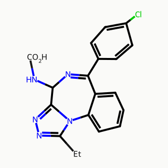 CCc1nnc2n1-c1ccccc1C(c1ccc(Cl)cc1)=NC2NC(=O)O